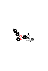 CCOC(=O)c1cc(C(OCc2ccc(-c3ccccc3)cc2)Oc2ccccc2)ccc1C